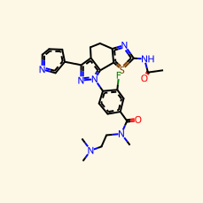 CC(=O)Nc1nc2c(s1)-c1c(c(-c3cccnc3)nn1-c1ccc(C(=O)N(C)CCN(C)C)cc1F)CC2